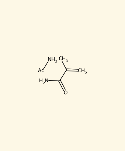 C=C(C)C(N)=O.CC(N)=O